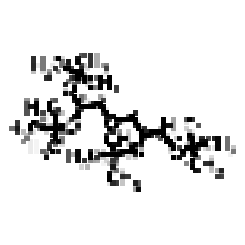 CC(C)(C)OCC(COCC(OC(C)(C)C)OC(C)(C)C)OC(C)(C)C